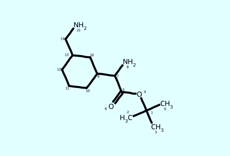 CC(C)(C)OC(=O)C(N)C1CCCC(CN)C1